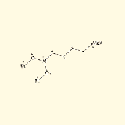 CCCCCCCCC[CH2][Al]([O]CC)[O]CC